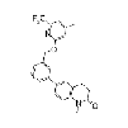 Cc1cc(OCc2cncc(-c3ccc4c(c3)CCC(=O)N4C)c2)nc(C(F)(F)F)c1